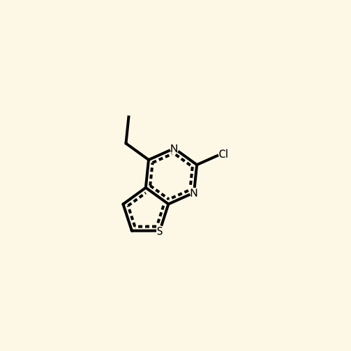 CCc1nc(Cl)nc2sccc12